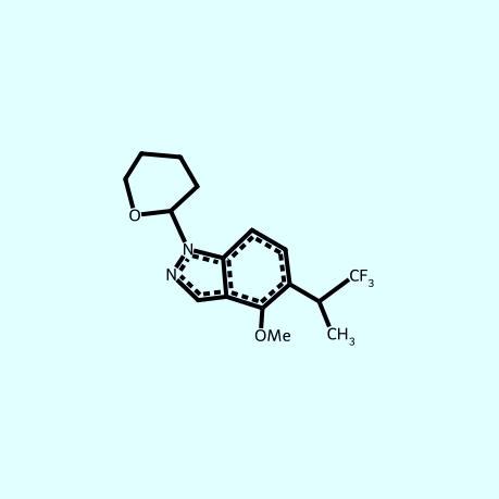 COc1c(C(C)C(F)(F)F)ccc2c1cnn2C1CCCCO1